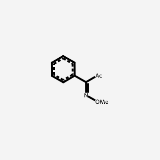 CO/N=C(\C(C)=O)c1ccccc1